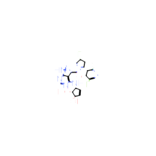 O=C(c1n[nH]c2ncnc(N[C@@H]3C=C[C@@H](O)[C@H]3O)c12)N1C[C@@H](F)C[C@@H]1C1CC(F)=CN=C1Cl